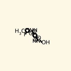 Cc1ccc(NS(=O)(=O)c2ccc(S(=O)(=O)NCCO)cc2)cc1F